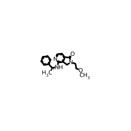 COCCN1Cc2c(ccnc2N[C@@H](C)c2ccccc2)C1=O